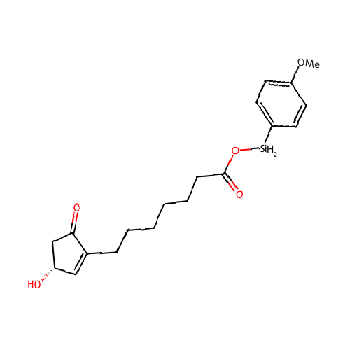 COc1ccc([SiH2]OC(=O)CCCCCCC2=C[C@H](O)CC2=O)cc1